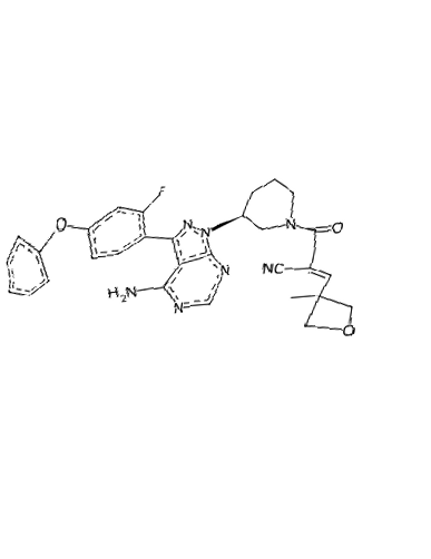 CC1(/C=C(\C#N)C(=O)N2CCC[C@H](n3nc(-c4ccc(Oc5ccccc5)cc4F)c4c(N)ncnc43)C2)COC1